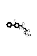 CC(C)(C)OC(=O)CNC(=O)c1ccc(-c2ccccc2)c(F)c1